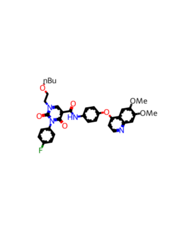 CCCCOCCn1cc(C(=O)Nc2ccc(Oc3ccnc4cc(OC)c(OC)cc34)cc2)c(=O)n(-c2ccc(F)cc2)c1=O